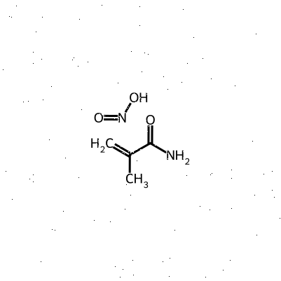 C=C(C)C(N)=O.O=NO